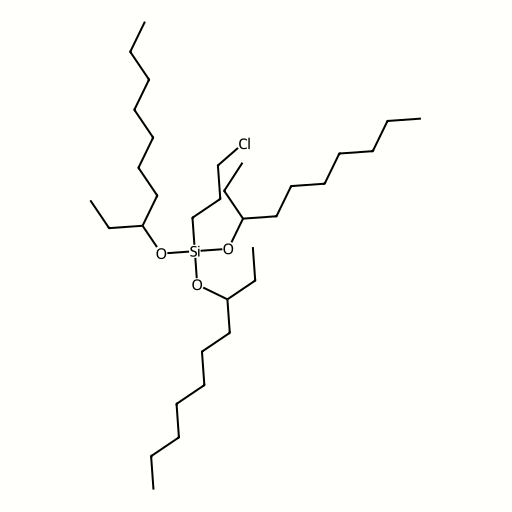 CCCCCCCC(CC)O[Si](CCCCl)(OC(CC)CCCCCCC)OC(CC)CCCCCCC